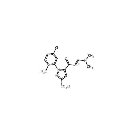 CCOC(=O)c1cc(C(=O)/C=C/N(C)C)n(-c2cc(Cl)ccc2C)n1